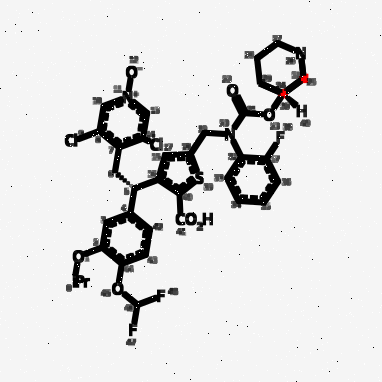 CC(C)Oc1cc([C@H](Cc2c(Cl)c[n+]([O-])cc2Cl)c2cc(CN(C(=O)O[C@H]3CN4CCC3CC4)c3ccccc3F)sc2C(=O)O)ccc1OC(F)F